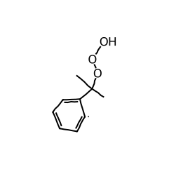 CC(C)(OOO)c1[c]cccc1